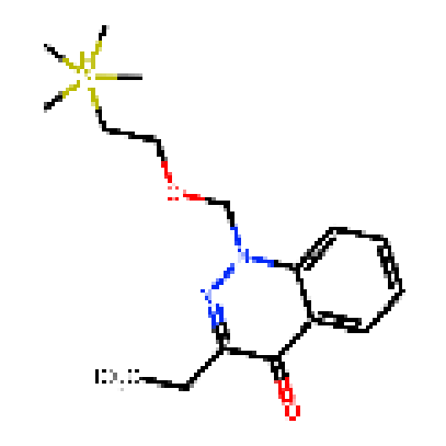 C[SH](C)(C)(C)CCOCn1nc(CC(=O)O)c(=O)c2ccccc21